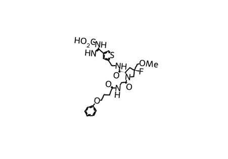 COC[C@@]1(F)C[C@@H](C(=O)NCc2cc(C(=N)NC(=O)O)cs2)N(C(=O)CNC(=O)CCCOc2ccccc2)C1